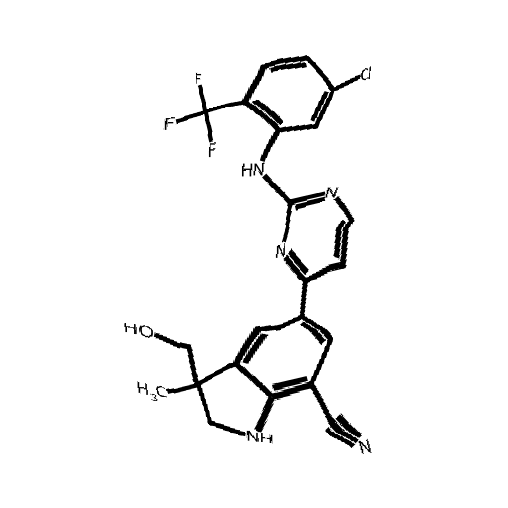 CC1(CO)CNc2c(C#N)cc(-c3ccnc(Nc4cc(Cl)ccc4C(F)(F)F)n3)cc21